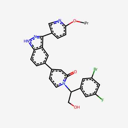 CC(C)Oc1ccc(-c2n[nH]c3ccc(-c4ccn(C(CO)c5cc(F)cc(Br)c5)c(=O)c4)cc23)cn1